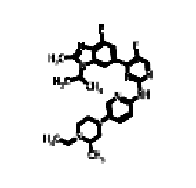 CCN1CCN(c2ccc(Nc3ncc(F)c(-c4cc(F)c5nc(C)n(C(C)C)c5c4)n3)nc2)C[C@H]1C